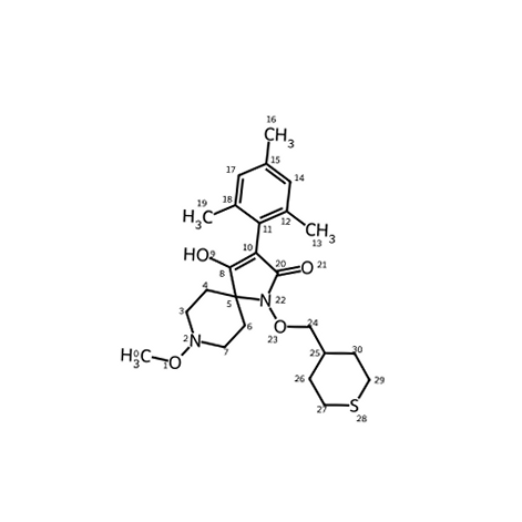 CON1CCC2(CC1)C(O)=C(c1c(C)cc(C)cc1C)C(=O)N2OCC1CCSCC1